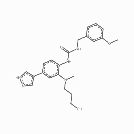 COc1cccc(CNC(=O)Nc2ccc(-c3cn[nH]c3)cc2N(C)CCCO)c1